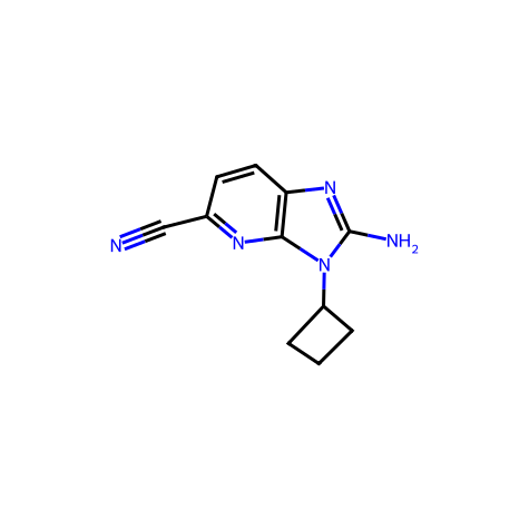 N#Cc1ccc2nc(N)n(C3CCC3)c2n1